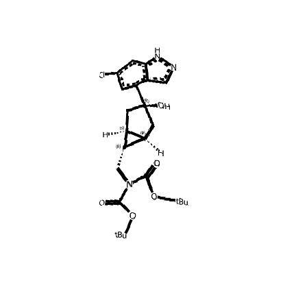 CC(C)(C)OC(=O)N(C[C@@H]1[C@H]2C[C@](O)(c3cc(Cl)cc4[nH]ncc34)C[C@@H]12)C(=O)OC(C)(C)C